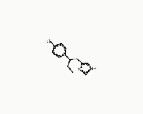 CCC(Cc1c[nH]cn1)c1ccc(Cl)cc1